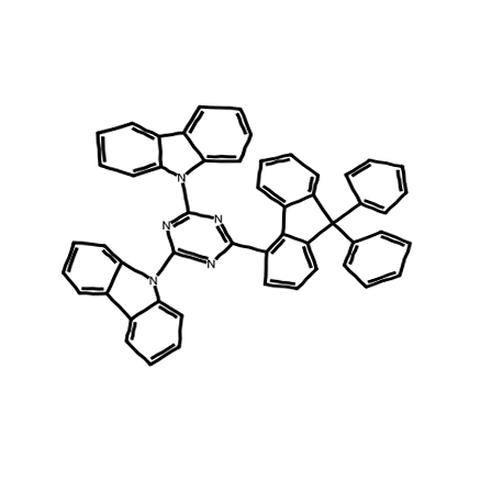 c1ccc(C2(c3ccccc3)c3ccccc3-c3c(-c4nc(-n5c6ccccc6c6ccccc65)nc(-n5c6ccccc6c6ccccc65)n4)cccc32)cc1